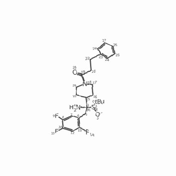 CC(C)(C)[S@+]([O-])[C@](N)(Cc1cc(F)c(F)cc1F)C1CCN(C(=O)CCc2ccccc2)CC1